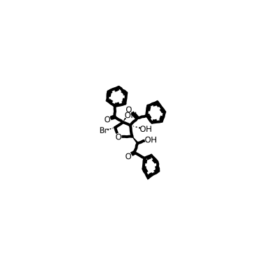 O=C(c1ccccc1)C(O)[C@H]1O[C@H](Br)[C@@](O)(C(=O)c2ccccc2)[C@@]1(O)C(=O)c1ccccc1